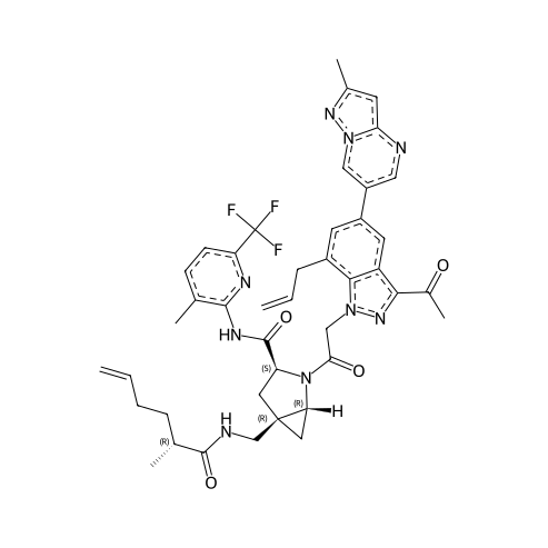 C=CCC[C@@H](C)C(=O)NC[C@@]12C[C@@H](C(=O)Nc3nc(C(F)(F)F)ccc3C)N(C(=O)Cn3nc(C(C)=O)c4cc(-c5cnc6cc(C)nn6c5)cc(CC=C)c43)[C@@H]1C2